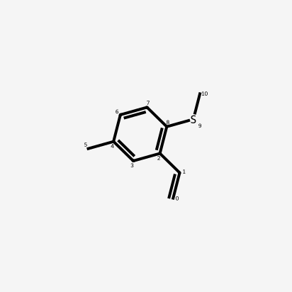 C=Cc1cc(C)ccc1SC